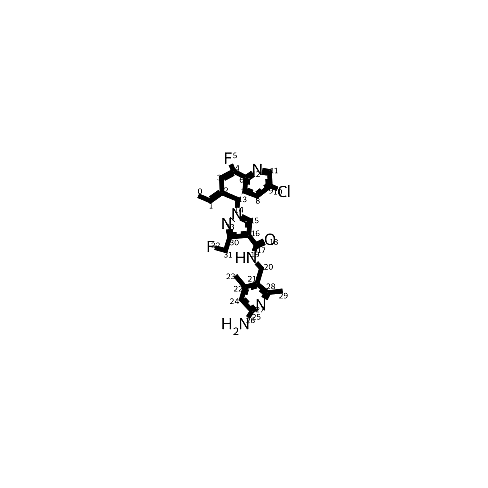 C/C=C(\C=C(\F)c1ccc(Cl)cn1)Cn1cc(C(=O)NCc2c(C)cc(N)nc2C)c(CF)n1